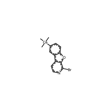 [CH3][Ge]([CH3])([CH3])[c]1ccc2oc3c(Br)nccc3c2c1